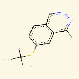 CCOC(=O)C(C)(C)Sc1ccc2cnnc(Cl)c2c1